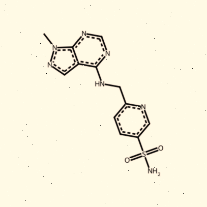 Cn1ncc2c(NCc3ccc(S(N)(=O)=O)cn3)ncnc21